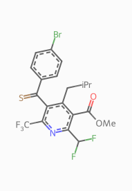 COC(=O)c1c(C(F)F)nc(C(F)(F)F)c(C(=S)c2ccc(Br)cc2)c1CC(C)C